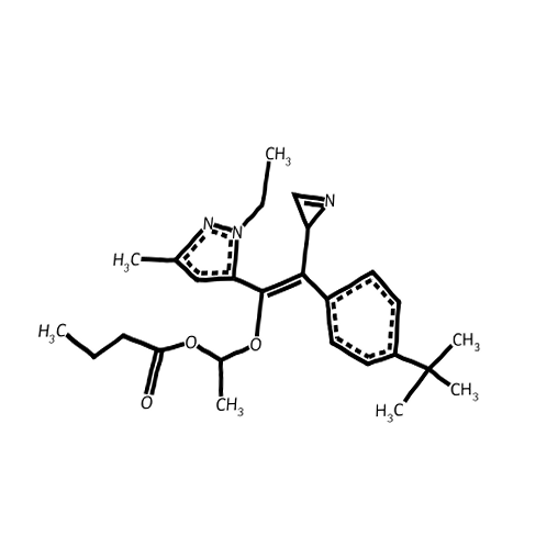 CCCC(=O)OC(C)O/C(=C(\c1ccc(C(C)(C)C)cc1)C1C=N1)c1cc(C)nn1CC